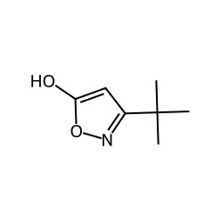 CC(C)(C)c1cc(O)on1